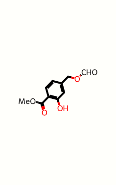 COC(=O)c1ccc(COC=O)cc1O